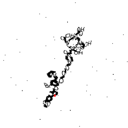 Cc1c(COc2cc(OCCOCCOCCN3CCN(C(=O)CCC(C(=O)O)N4CCN(CC(=O)O)CCN(CC(=O)O)CCN(CC5OC5O)CC4)CC3)c(CN3CCCC3)cc2Br)cccc1-c1ccc2c(c1)OCCO2